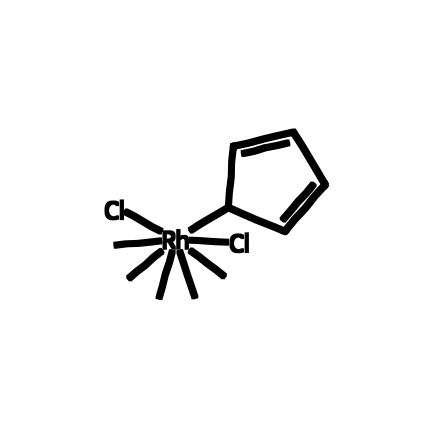 [CH3][Rh]([CH3])([CH3])([CH3])([CH3])([Cl])([Cl])[CH]1C=CC=C1